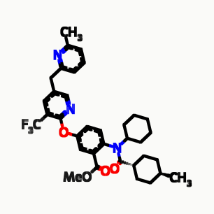 COC(=O)c1cc(Oc2ncc(Cc3cccc(C)n3)cc2C(F)(F)F)ccc1N(C(=O)[C@H]1CC[C@H](C)CC1)C1CCCCC1